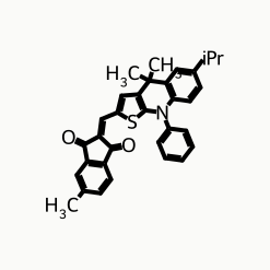 Cc1ccc2c(c1)C(=O)/C(=C/c1cc3c(s1)N(c1ccccc1)c1ccc(C(C)C)cc1C3(C)C)C2=O